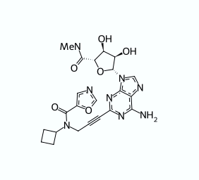 CNC(=O)[C@H]1O[C@@H](n2cnc3c(N)nc(C#CCN(C(=O)c4cnco4)C4CCC4)nc32)[C@H](O)[C@@H]1O